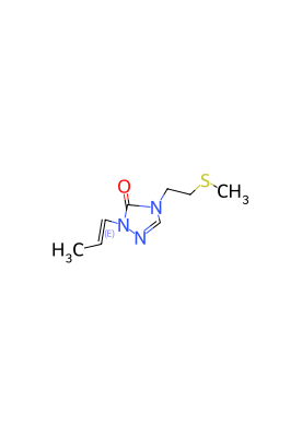 C/C=C/n1ncn(CCSC)c1=O